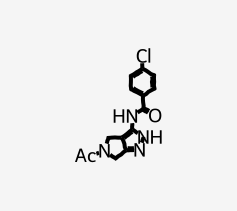 CC(=O)N1Cc2n[nH]c(NC(=O)c3ccc(Cl)cc3)c2C1